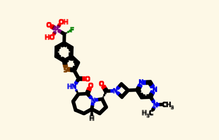 CN(C)c1cc(C2CN(C(=O)[C@@H]3CC[C@@H]4CCC[C@H](NC(=O)c5cc6cc([C@@H](F)P(=O)(O)O)ccc6s5)C(=O)N43)C2)ncn1